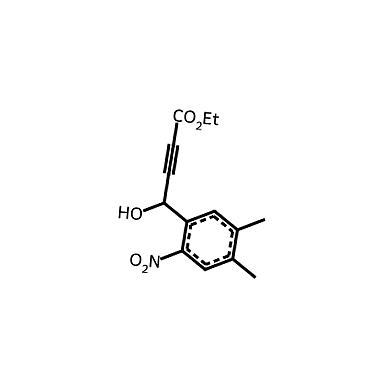 CCOC(=O)C#CC(O)c1cc(C)c(C)cc1[N+](=O)[O-]